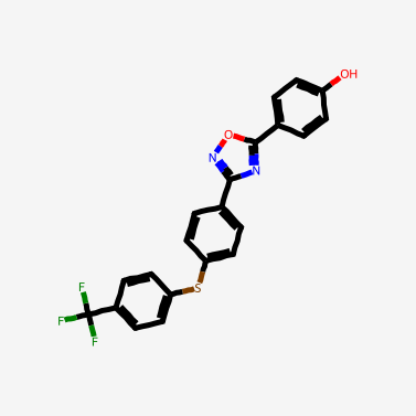 Oc1ccc(-c2nc(-c3ccc(Sc4ccc(C(F)(F)F)cc4)cc3)no2)cc1